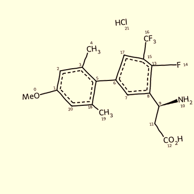 COc1cc(C)c(-c2cc([C@@H](N)CC(=O)O)c(F)c(C(F)(F)F)c2)c(C)c1.Cl